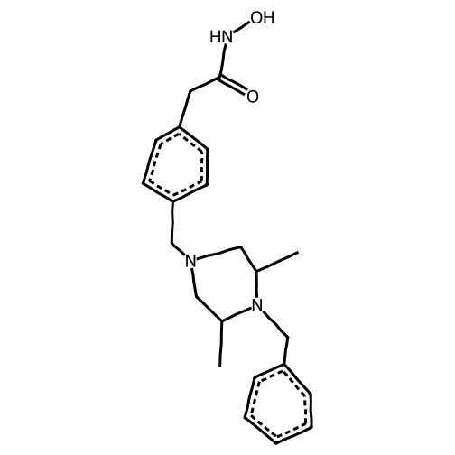 CC1CN(Cc2ccc(CC(=O)NO)cc2)CC(C)N1Cc1ccccc1